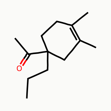 CCCC1(C(C)=O)CCC(C)=C(C)C1